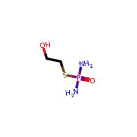 NP(N)(=O)SCCO